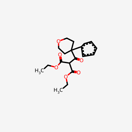 CCOC(=O)C(C(=O)OCC)C(=O)C1(c2ccccc2)CCOCC1